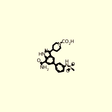 CS(=O)(=O)Nc1cccc(-c2cc(C(N)=O)c3[nH]nc(C4CCN(C(=O)O)CC4)c3c2)c1